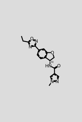 CCc1nc(-c2ccc3c(c2)OC[C@H]3NC(=O)c2cnn(C)c2)no1